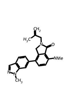 C=C(C)CN1Cc2c(-c3ccc4cnn(C)c4c3)ccc(NC)c2C1=O